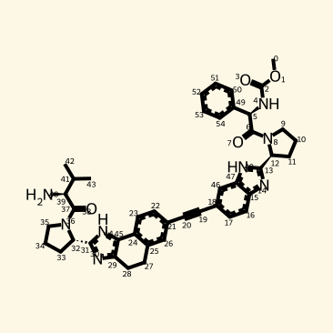 COC(=O)N[C@@H](C(=O)N1CCC[C@H]1c1nc2ccc(C#Cc3ccc4c(c3)CCc3nc([C@@H]5CCCN5C(=O)[C@@H](N)C(C)C)[nH]c3-4)cc2[nH]1)c1ccccc1